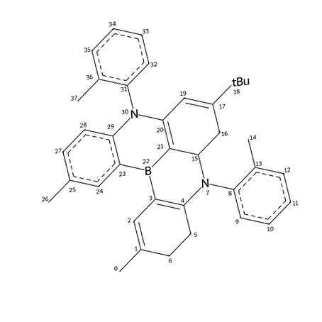 CC1=CC2=C(CC1)N(c1ccccc1C)C1CC(C(C)(C)C)=CC3=C1B2c1cc(C)ccc1N3c1ccccc1C